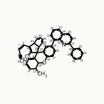 C#C/C=C\C1=C(C)C2(C3=CC=CC(C)C3Oc3ccc(-c4cccc5ccc(-c6ccccc6)nc45)cc32)C2C=CC=CC12